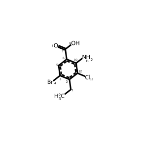 CCc1c(Br)cc(C(=O)O)c(N)c1Cl